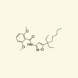 CCCCCC(CC)(CC)c1cc(NC(=O)c2c(OC)cccc2OC)no1